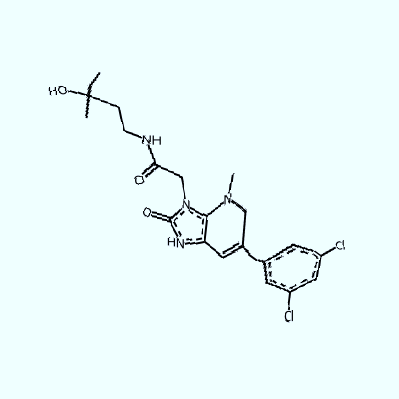 CN1CC(c2cc(Cl)cc(Cl)c2)=Cc2[nH]c(=O)n(CC(=O)NCCC(C)(C)O)c21